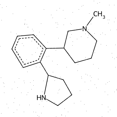 CN1CCCC(c2ccccc2C2CCCN2)C1